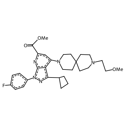 COCCN1CCC2(CC1)CCN(c1cc(C(=O)OC)nc3c1c(C1CCC1)nn3-c1ccc(F)cc1)CC2